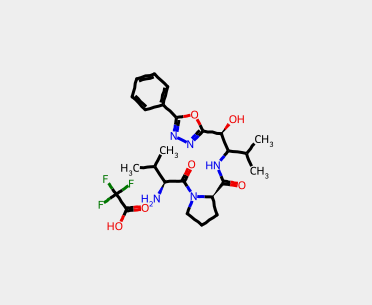 CC(C)C(NC(=O)[C@H]1CCCN1C(=O)[C@@H](N)C(C)C)[C@H](O)c1nnc(-c2ccccc2)o1.O=C(O)C(F)(F)F